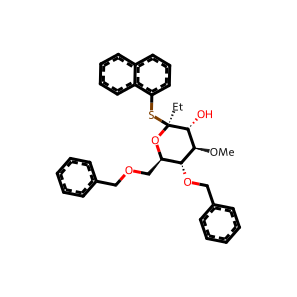 CC[C@@]1(Sc2cccc3ccccc23)O[C@H](COCc2ccccc2)[C@@H](OCc2ccccc2)[C@H](OC)[C@H]1O